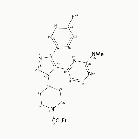 CCOC(=O)N1CCC(n2cnc(-c3ccc(F)cc3)c2-c2ccnc(NC)n2)CC1